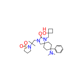 CN(C)C1(c2ccccc2)CCC2(CC1)CN(CC(C)(C)N1CCCS1(=O)=O)C(=O)N2CC1(O)CCC1